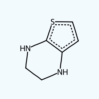 c1cc2c(s1)NCCN2